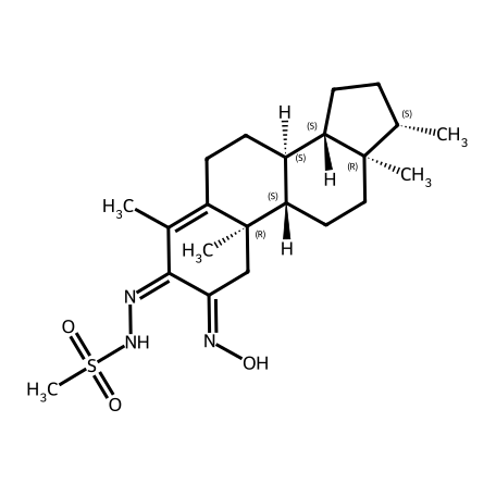 CC1=C2CC[C@H]3[C@@H]4CC[C@H](C)[C@@]4(C)CC[C@@H]3[C@@]2(C)CC(=NO)C1=NNS(C)(=O)=O